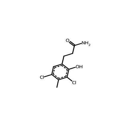 Cc1c(Cl)cc(CCC(N)=O)c(O)c1Cl